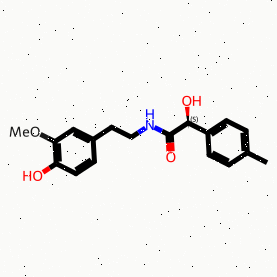 COc1cc(CCNC(=O)[C@@H](O)c2ccc(C)cc2)ccc1O